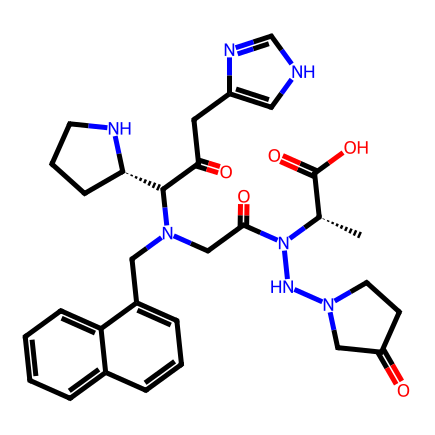 C[C@@H](C(=O)O)N(NN1CCC(=O)C1)C(=O)CN(Cc1cccc2ccccc12)C(C(=O)Cc1c[nH]cn1)[C@@H]1CCCN1